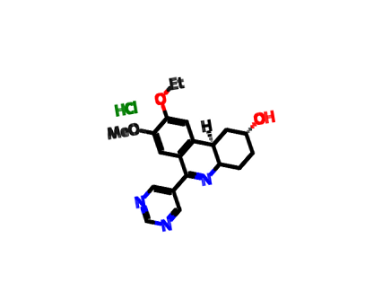 CCOc1cc2c(cc1OC)C(c1cncnc1)=NC1CC[C@@H](O)C[C@H]21.Cl